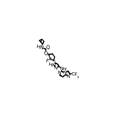 O=C(NC12CC(C1)C2)O[C@@H]1CC[C@H](c2cc(Nc3nccc4nc(C(F)(F)F)cn34)n[nH]2)[C@@H]1F